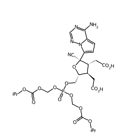 CC(C)OC(=O)OCOP(=O)(OCOC(=O)OC(C)C)OC[C@@H]1O[C@@](C#N)(c2ccc3c(N)ncnn23)[C@H](CC(=O)O)[C@H]1CC(=O)O